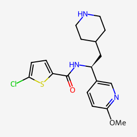 COc1ccc([C@H](CC2CCNCC2)NC(=O)c2ccc(Cl)s2)cn1